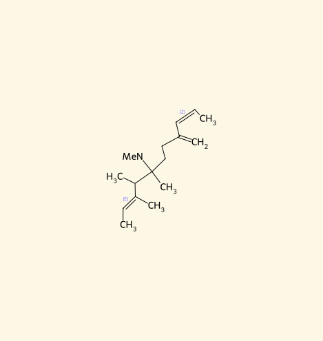 C=C(/C=C\C)CCC(C)(NC)C(C)/C(C)=C/C